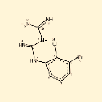 CC(C)c1cccc(NC(=N)NC(=N)N)c1Cl